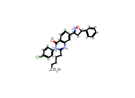 O=C(O)CCCCc1nc2cc(C3=NOC(c4ccccc4)C3)ccc2c(=O)n1-c1ccc(Cl)cc1